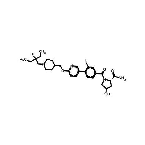 CCC(F)(CC)CN1CCC(COc2ccc(-c3ccc(C(=O)N4C[C@H](O)C[C@H]4C(N)=O)cc3F)cn2)CC1